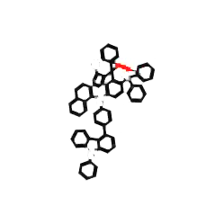 c1ccc(-n2c3ccccc3c3c(-c4ccc(N(c5ccc6c(c5)C5(c7ccccc7Oc7ccccc75)c5ccccc5[Si]6(c5ccccc5)c5ccccc5)c5cccc6ccccc56)cc4)cccc32)cc1